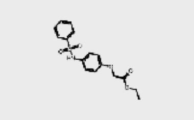 CCOC(=O)COc1ccc(NS(=O)(=O)c2ccccc2)cc1